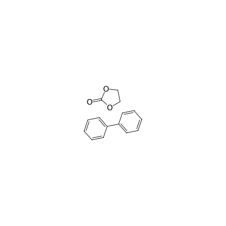 O=C1OCCO1.c1ccc(-c2ccccc2)cc1